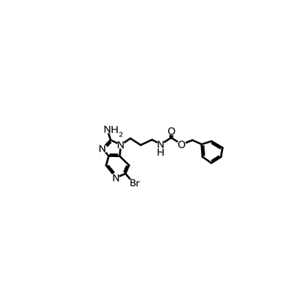 Nc1nc2cnc(Br)cc2n1CCCNC(=O)OCc1ccccc1